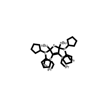 CCCCC1(P(C2CCCC2)C2CCCC2)SC(CCCC)(P(C2CCCC2)C2CCCC2)C(P(CC(C)C)CC(C)C)=C1P(CC(C)C)CC(C)C